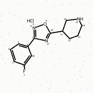 Cl.Fc1cccc(-c2noc(C3CCCNC3)n2)c1